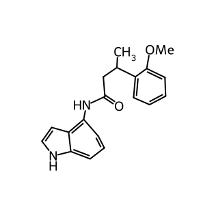 COc1ccccc1C(C)CC(=O)Nc1cccc2[nH]ccc12